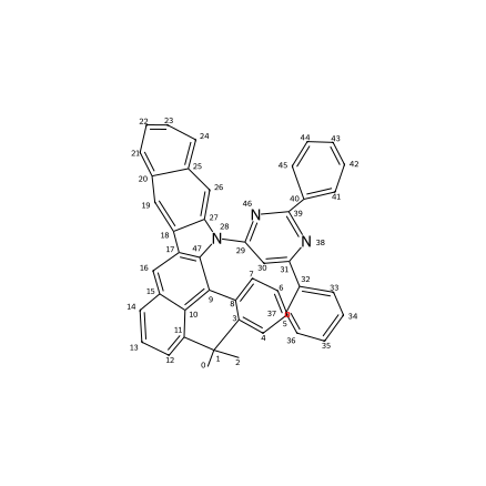 CC1(C)c2ccccc2-c2c3c1cccc3cc1c3cc4ccccc4cc3n(-c3cc(-c4ccccc4)nc(-c4ccccc4)n3)c21